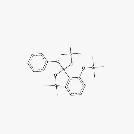 C[Si](C)(C)Oc1ccccc1[Si](Oc1ccccc1)(O[Si](C)(C)C)O[Si](C)(C)C